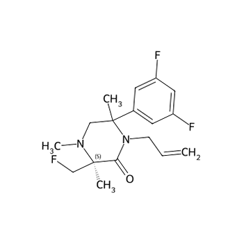 C=CCN1C(=O)[C@@](C)(CF)N(C)CC1(C)c1cc(F)cc(F)c1